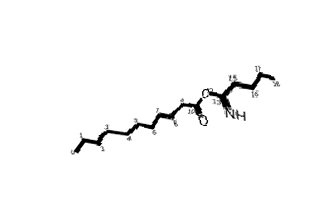 CCCCCCCCCCC(=O)OC(=N)CCCC